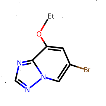 CCOc1cc(Br)cn2ncnc12